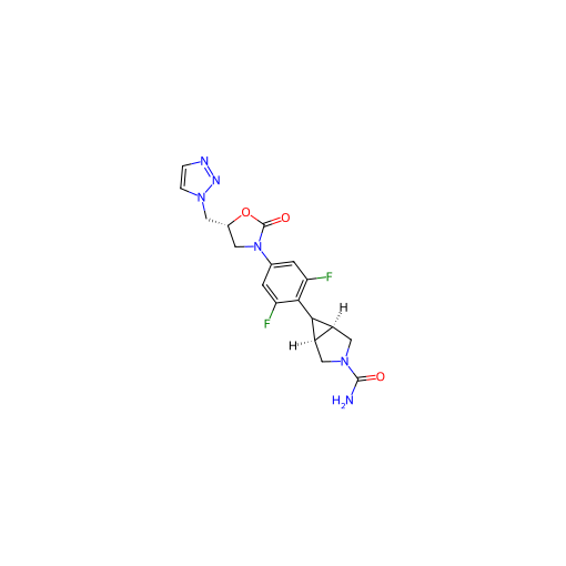 NC(=O)N1C[C@@H]2C(c3c(F)cc(N4C[C@H](Cn5ccnn5)OC4=O)cc3F)[C@@H]2C1